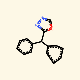 c1ccc(C(c2ccccc2)c2nnco2)cc1